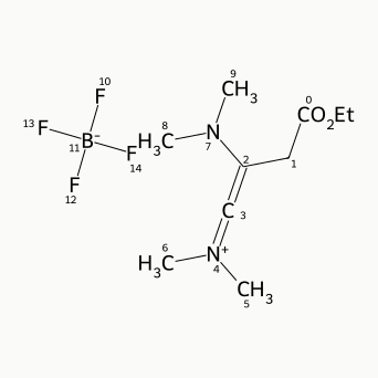 CCOC(=O)CC(=C=[N+](C)C)N(C)C.F[B-](F)(F)F